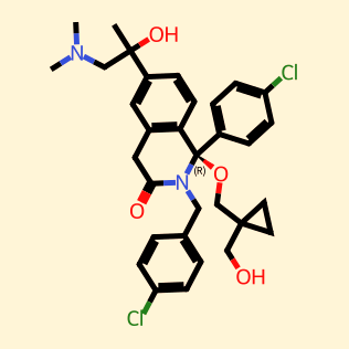 CN(C)CC(C)(O)c1ccc2c(c1)CC(=O)N(Cc1ccc(Cl)cc1)[C@@]2(OCC1(CO)CC1)c1ccc(Cl)cc1